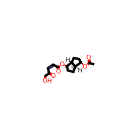 CC(=O)O[C@@H]1CC[C@H]2[C@@H]1CC[C@H]2OC(=O)/C=C\C(=O)CO